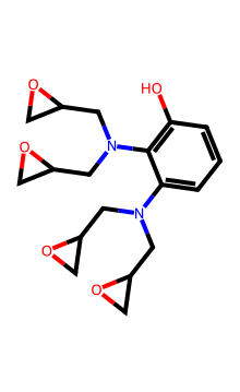 Oc1cccc(N(CC2CO2)CC2CO2)c1N(CC1CO1)CC1CO1